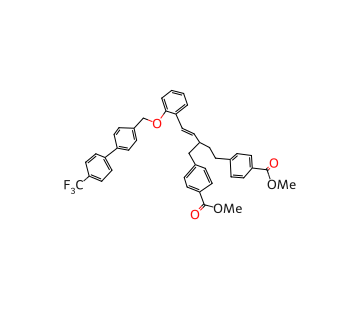 COC(=O)c1ccc(CCC(C=Cc2ccccc2OCc2ccc(-c3ccc(C(F)(F)F)cc3)cc2)Cc2ccc(C(=O)OC)cc2)cc1